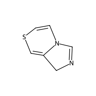 C1=CN2C=NCC2=CS1